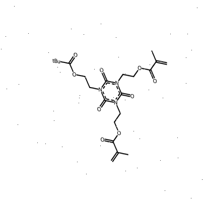 C=C(C)C(=O)OCCn1c(=O)n(CCOC(=O)C(=C)C)c(=O)n(CCOC(=O)C(C)(C)C)c1=O